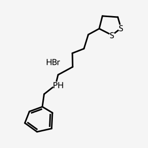 Br.c1ccc(CPCCCCCC2CCSS2)cc1